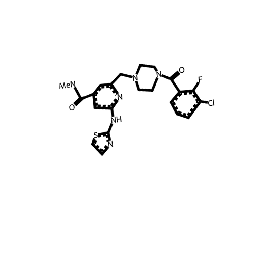 CNC(=O)c1cc(CN2CCN(C(=O)c3cccc(Cl)c3F)CC2)nc(Nc2nccs2)c1